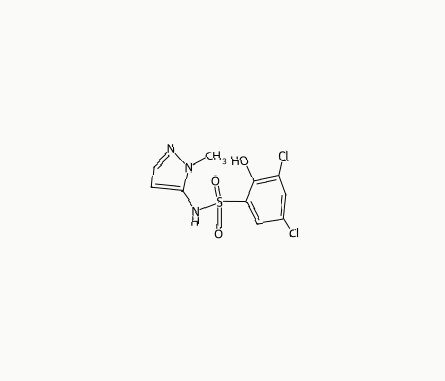 Cn1nccc1NS(=O)(=O)c1cc(Cl)cc(Cl)c1O